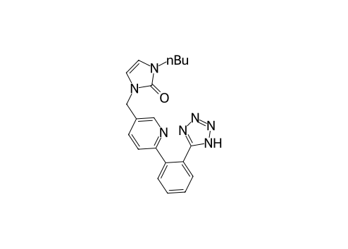 CCCCn1ccn(Cc2ccc(-c3ccccc3-c3nnn[nH]3)nc2)c1=O